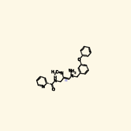 C=N/C(=C\N(N)Cc1cccc(Oc2ccccc2)c1)CNC(=O)c1ccccn1